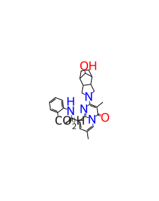 Cc1cc([C@@H](C)Nc2ccccc2C(=O)O)c2nc(N3CC4C5CCC(C5O)C4C3)c(C)c(=O)n2c1